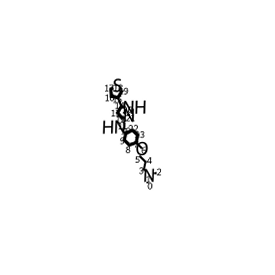 CN(C)CCCOc1ccc(Nc2cc(-c3ccsc3)[nH]n2)cc1